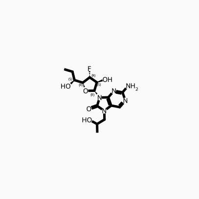 CC[C@H](O)[C@H]1O[C@@H](n2c(=O)n(CC(C)O)c3cnc(N)nc32)[C@H](O)[C@H]1F